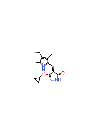 CCc1c(C)[nH]c(/C=C2/C(=O)NN=C2OC2CC2)c1C